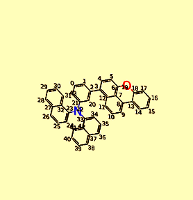 c1cc(-c2ccc3c4c(cccc24)-c2ccccc2O3)cc(N(c2cccc3ccccc23)c2cccc3ccccc23)c1